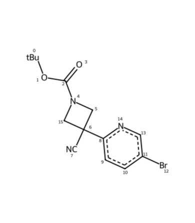 CC(C)(C)OC(=O)N1CC(C#N)(c2ccc(Br)cn2)C1